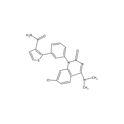 CN(C)c1nc(=O)n(-c2cccc(-c3sccc3C(N)=O)c2)c2cc(Cl)ccc12